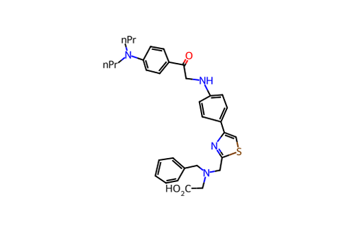 CCCN(CCC)c1ccc(C(=O)CNc2ccc(-c3csc(CN(CC(=O)O)Cc4ccccc4)n3)cc2)cc1